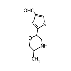 CC1COC(c2nc(C=O)cs2)CN1